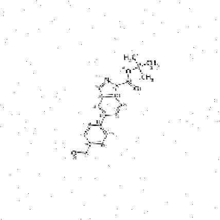 CC(C)(C)OC(=O)n1ncc2cc(-c3ccc(C=O)cc3)ccc21